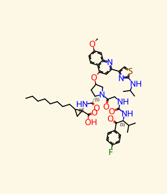 CCCCCCCCC1C[C@]1(NC(=O)[C@@H]1CC(Oc2cc(-c3csc(NC(C)C)n3)nc3cc(OC)ccc23)CN1C(=O)CNC(=O)N[C@H](C(=O)c1ccc(F)cc1)C(C)C)C(=O)O